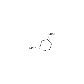 CC(=O)N[C@@H]1CCC[C@H](NC(C)=O)C1